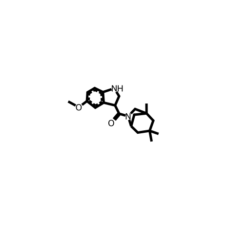 COc1ccc2c(c1)C(C(=O)N1CC3(C)CC1CC(C)(C)C3)CN2